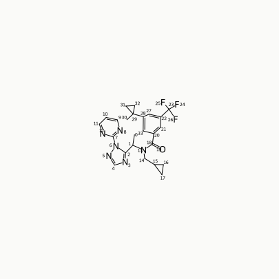 CC(c1ncnn1-c1ncccn1)N(CC1CC1)C(=O)c1cc(C(F)(F)F)cc(C2(C)CC2)c1